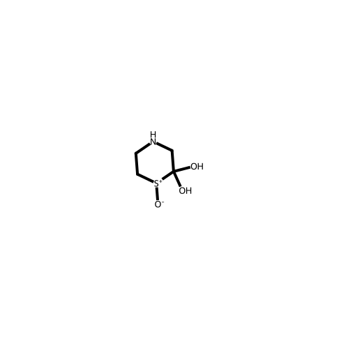 [O-][S+]1CCNCC1(O)O